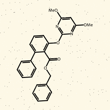 COc1cc(OC)nc(Oc2cccc(-c3ccccc3)c2C(=O)OCc2ccccc2)n1